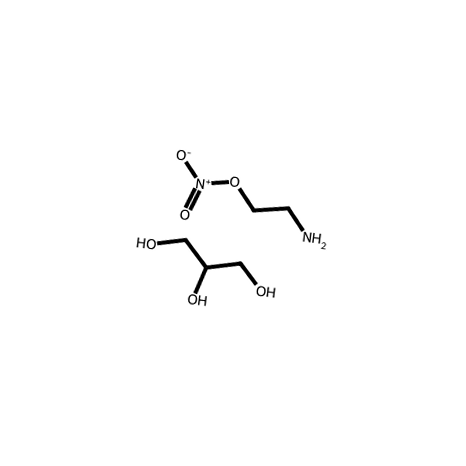 NCCO[N+](=O)[O-].OCC(O)CO